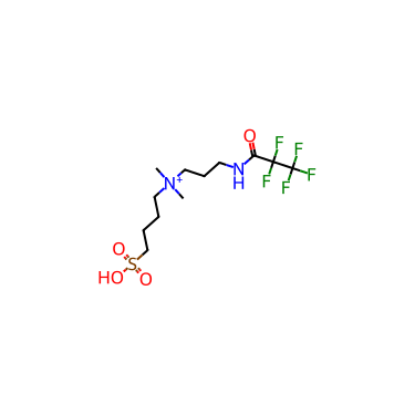 C[N+](C)(CCCCS(=O)(=O)O)CCCNC(=O)C(F)(F)C(F)(F)F